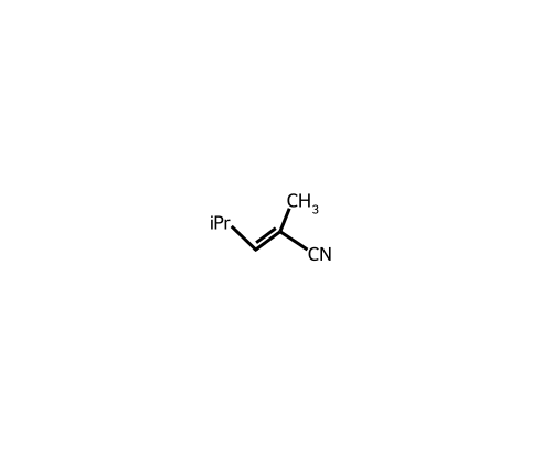 CC(C#N)=CC(C)C